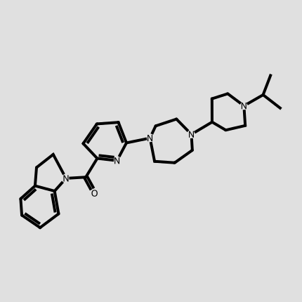 CC(C)N1CCC(N2CCCN(c3cccc(C(=O)N4CCc5ccccc54)n3)CC2)CC1